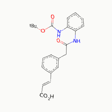 CC(C)(C)OC(=O)Nc1ccccc1NC(=O)Cc1cccc(/C=C/C(=O)O)c1